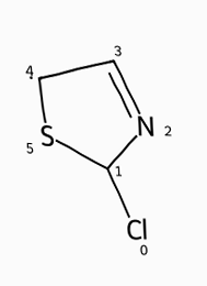 ClC1N=C[CH]S1